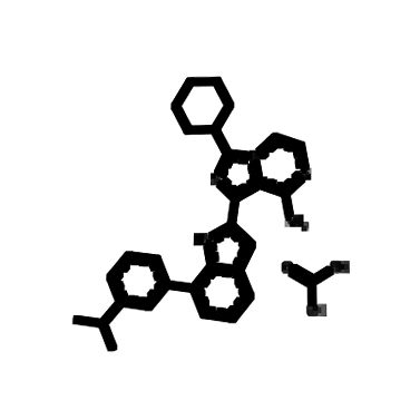 CC(C)c1cccc(-c2cccc3cc(-c4nc(C5CCCCC5)n5ccnc(N)c45)[nH]c23)c1.O=C(O)O